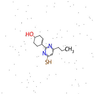 CCCc1cc(S)nc(C2=CCC(O)CC2)n1